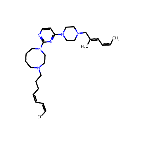 C/C=C\C=C(/C)CN1CCN(c2ccnc(N3CCCCN(CCC/C=C\C=C/CC)CC3)n2)CC1